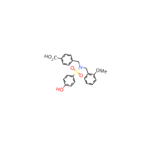 COc1ccccc1CN(Cc1ccc(C(=O)O)cc1)S(=O)(=O)c1ccc(O)cc1